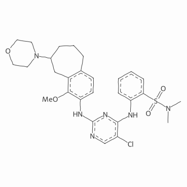 COc1c(Nc2ncc(Cl)c(Nc3ccccc3S(=O)(=O)N(C)C)n2)ccc2c1CC(N1CCOCC1)CCC2